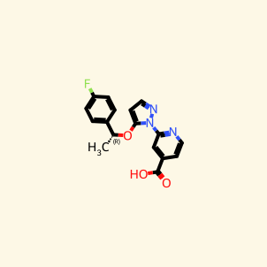 C[C@@H](Oc1ccnn1-c1cc(C(=O)O)ccn1)c1ccc(F)cc1